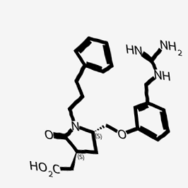 N=C(N)NCc1cccc(OC[C@@H]2C[C@@H](CC(=O)O)C(=O)N2CCCc2ccccc2)c1